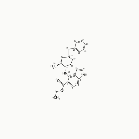 CCOC(=O)c1cnc2[nH]ccc2c1N[C@H]1CCN(Cc2ccccc2)C[C@@H]1C